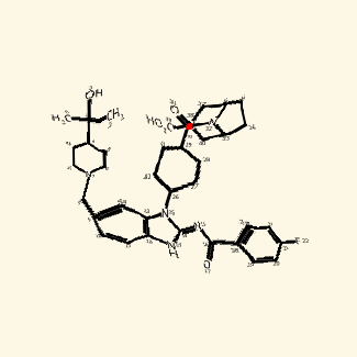 CC(C)(O)C1CCN(Cc2ccc3[nH]/c(=N\C(=O)c4ccc(F)cc4)n(C4CCC(C(=O)N5C6CCC5CN(C(=O)O)C6)CC4)c3c2)CC1